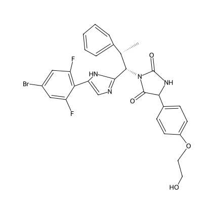 C[C@@H](c1ccccc1)[C@@H](c1ncc(-c2c(F)cc(Br)cc2F)[nH]1)N1C(=O)NC(c2ccc(OCCO)cc2)C1=O